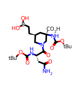 CC(C)(C)OC(=O)N[C@@H](CC(N)=O)C(=O)N1C[C@@H](CCB(O)O)C[C@](NC(=O)OC(C)(C)C)(C(=O)O)C1